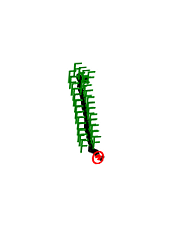 COCCC(F)(F)C(F)(F)C(F)(F)C(F)(F)C(F)(F)C(F)(F)C(F)(F)C(F)(F)C(F)(F)C(F)(F)C(F)(F)C(F)(C(F)(F)F)C(F)(F)F